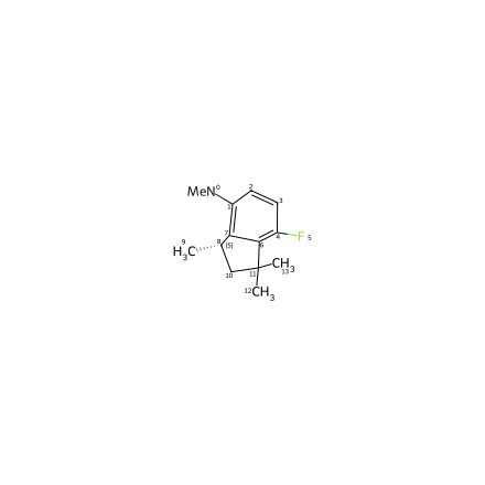 CNc1ccc(F)c2c1[C@@H](C)CC2(C)C